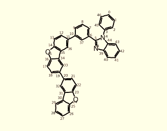 c1ccc(-n2c(-c3cccc(-c4ccc5oc6ccc(-c7ccc8oc9ccccc9c8c7)cc6c5c4)c3)nc3ccccc32)cc1